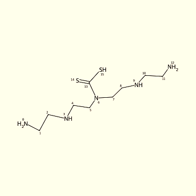 NCCNCCN(CCNCCN)C(=S)S